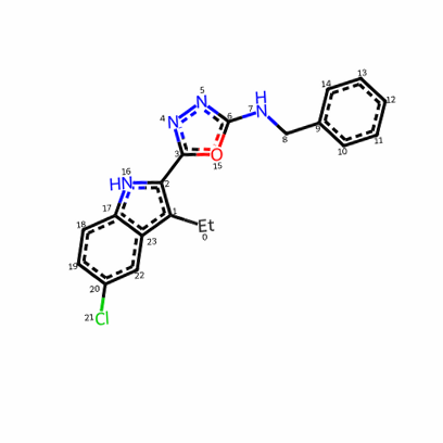 CCc1c(-c2nnc(NCc3ccccc3)o2)[nH]c2ccc(Cl)cc12